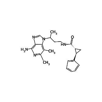 Cc1nc(N)c2ncn(C(C)CCNC(=O)[C@@H]3C[C@H]3c3ccccc3)c2c1C